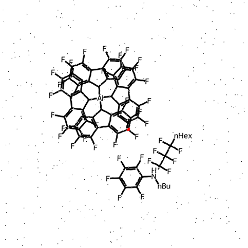 CCCCCCC(F)(F)C(F)(F)C(F)(F)[NH+](CCCC)c1c(F)c(F)c(F)c(F)c1F.Fc1cc2c(c(F)c1F)-c1c(F)c(F)c(F)c(F)c1[CH]2[Al-]([CH]1c2cc(F)c(F)c(F)c2-c2c(F)c(F)c(F)c(F)c21)([CH]1c2cc(F)c(F)c(F)c2-c2c(F)c(F)c(F)c(F)c21)[CH]1c2cc(F)c(F)c(F)c2-c2c(F)c(F)c(F)c(F)c21